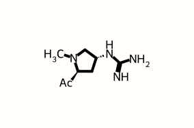 CC(=O)[C@@H]1C[C@@H](NC(=N)N)CN1C